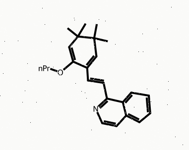 CCCOC1=CC(C)(C)C(C)(C)C=C1C=Cc1nccc2ccccc12